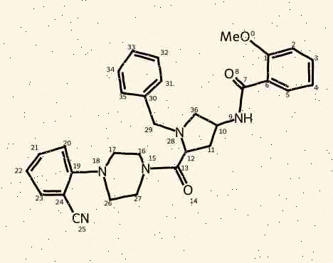 COc1ccccc1C(=O)NC1CC(C(=O)N2CCN(c3ccccc3C#N)CC2)N(Cc2ccccc2)C1